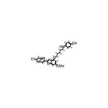 CCc1nn2cc(-c3cc4c(OCCCCCNc5ccc(C#N)cc5)cc(OC)cc4o3)nc2s1